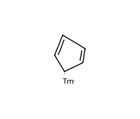 [CH]1C=CC=C1.[Tm]